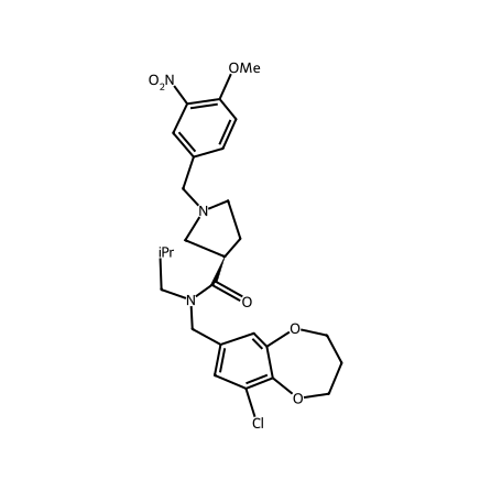 COc1ccc(CN2CC[C@@H](C(=O)N(Cc3cc(Cl)c4c(c3)OCCCO4)CC(C)C)C2)cc1[N+](=O)[O-]